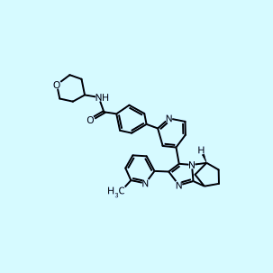 Cc1cccc(-c2nc3n(c2-c2ccnc(-c4ccc(C(=O)NC5CCOCC5)cc4)c2)[C@@H]2CCC3C2)n1